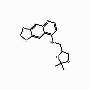 CC1(C)OCC(CNc2ccnc3cc4c(cc23)OCO4)O1